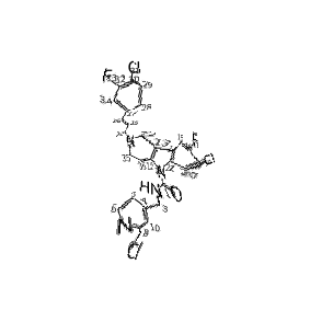 O=C(NCc1ccnc(Cl)c1)n1c2c(c3cc(F)c(Cl)cc31)CN(CC=Cc1ccc(Cl)c(F)c1)CC2